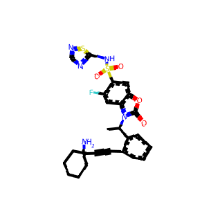 CC(c1ccccc1C#CC1(N)CCCCC1)n1c(=O)oc2cc(S(=O)(=O)Nc3ncns3)c(F)cc21